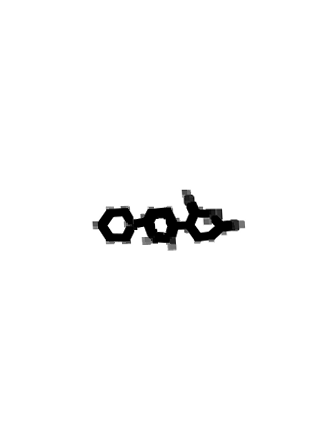 O=C1CCC(c2ccc(N3CCCCC3)nn2)C(=O)N1